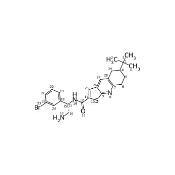 CC(C)(C)C1CCc2nc3sc(C(=O)N[C@H](CN)c4cccc(Br)c4)cc3cc2C1